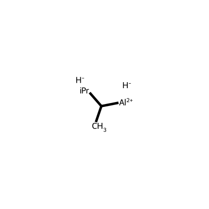 CC(C)[CH](C)[Al+2].[H-].[H-]